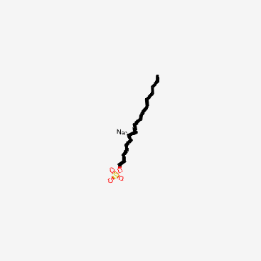 CCCCCCCCCCCCCCCCCOS(=O)(=O)[O-].[Na+]